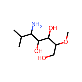 COC(CO)C(O)C(O)C(N)C(C)C